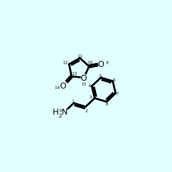 NC=Cc1ccccc1.O=C1C=CC(=O)O1